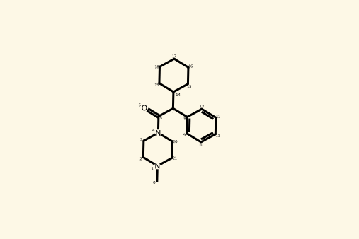 CN1CCN(C(=O)C(c2ccccc2)C2CCCCC2)CC1